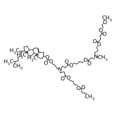 CCCC(=O)OCCCCOC(=O)CCN(CCCOC(=O)OC1CC[C@@]2(C)C(=CCC3C4CCC([C@@H](C)CCCC(C)C)[C@@]4(C)CCC32)C1)CCC(=O)OCCCCOC(=O)CCN(C)CCCOC(=O)CCC(=O)OCCOC